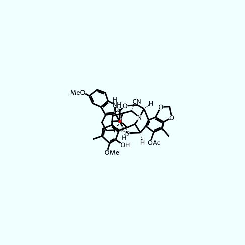 COc1ccc2[nH]c3c(c2c1)CCN[C@]31CS[C@@H]2c3c(OC(C)=O)c(C)c4c(c3[C@H](COC1=O)N1C2[C@H]2c3c(cc(C)c(OC)c3O)C[C@@H]([C@@H]1C#N)N2C)OCO4